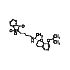 CC(C)Oc1cccc2c1O[C@@H](C(C)NCCCCN1C(=O)c3ccccc3S1(=O)=O)CC2